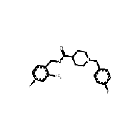 O=C(NCc1ccc(F)cc1C(F)(F)F)C1CCN(Cc2ccc(F)cc2)CC1